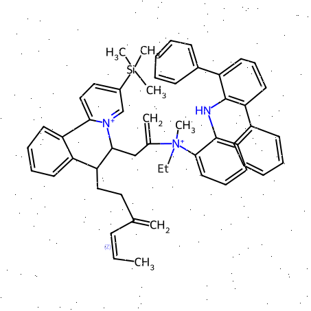 C=C(/C=C\C)CCC1c2ccccc2-c2ccc([Si](C)(C)C)c[n+]2C1CC(=C)[N+](C)(CC)c1ccccc1Nc1c(-c2ccccc2)cccc1-c1ccccc1